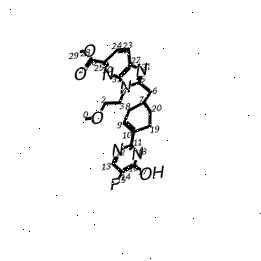 COCCn1c(CC2CC=C(c3ncc(F)c(O)n3)CC2)nc2ccc(C(=O)OC)nc21